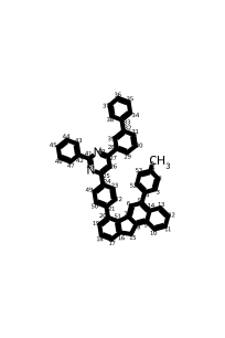 Cc1ccc(-c2cc3c(c4ccccc24)Cc2cccc(-c4ccc(-c5cc(-c6cccc(-c7ccccc7)c6)nc(-c6ccccc6)n5)cc4)c2-3)cc1